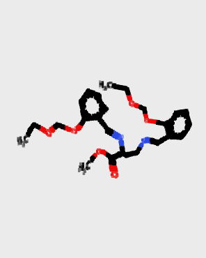 CCOCOc1ccccc1/C=N/CC(/N=C/c1ccccc1OCOCC)C(=O)OC